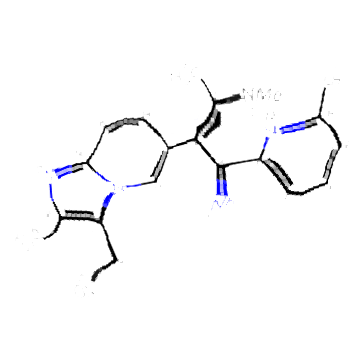 CN/C(C)=C(\C(=N)c1cccc(C)n1)c1ccc2nc(C)c(CN=O)n2c1